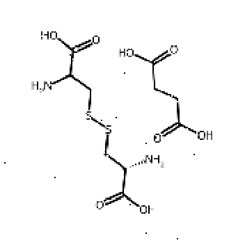 NC(CSSC[C@H](N)C(=O)O)C(=O)O.O=C(O)CCC(=O)O